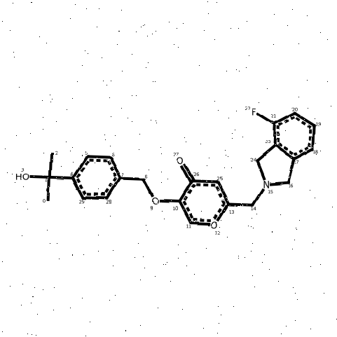 CC(C)(O)c1ccc(COc2coc(CN3Cc4cccc(F)c4C3)cc2=O)cc1